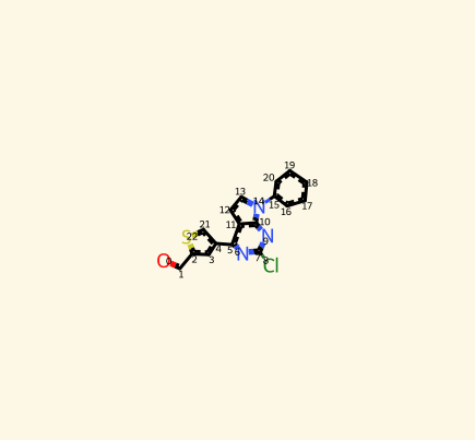 O=Cc1cc(-c2nc(Cl)nc3c2ccn3-c2ccccc2)cs1